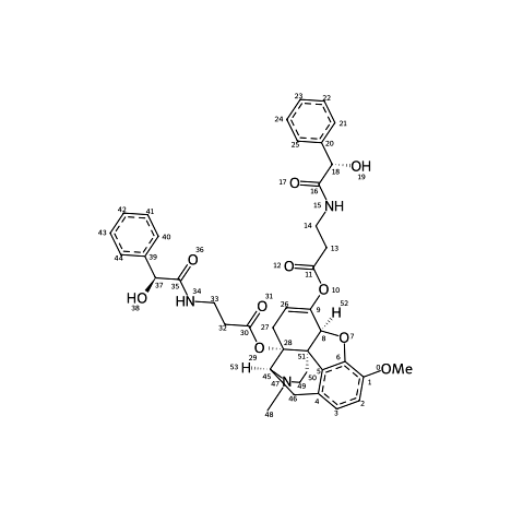 COc1ccc2c3c1O[C@@H]1C(OC(=O)CCNC(=O)[C@@H](O)c4ccccc4)=CC[C@]4(OC(=O)CCNC(=O)[C@@H](O)c5ccccc5)[C@H](C2)N(C)CC[C@@]314